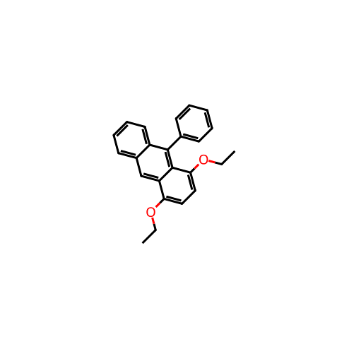 CCOc1ccc(OCC)c2c(-c3ccccc3)c3ccccc3cc12